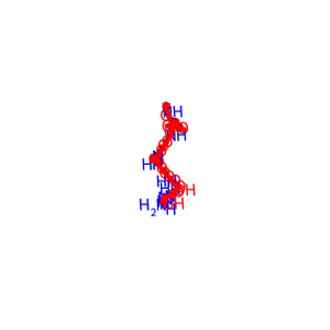 COc1ccc(C(SCCC(=O)NCCCOCCOCCOCCCn2nnc3c2CCCCCC3(F)C(=O)NCCOCCOCCOCCNC(=O)CCC(NC(=O)c2ccc(NCc3cnc4nc(N)nc(O)c4n3)cc2)C(=O)O)(c2ccc(OC)cc2)c2ccc(C)c(C#CCCC(=O)NCc3ccccc3)c2)cc1